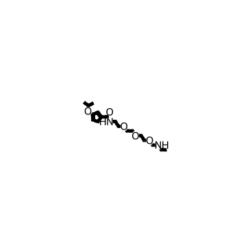 CCNCOCCOCCOCCNC(=O)C1=CC(OC(C)C)=CC1